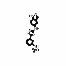 CS(=O)(=O)Nc1cccc(-c2nnc(Nc3ccc4[nH]ncc4c3)s2)c1